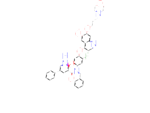 COc1cc2c(Oc3ccc(N(Cc4ccccc4)C(=O)c4cc(-c5ccccc5)c[nH]c4=O)cc3F)ccnc2cc1OCCCN1CCOCC1